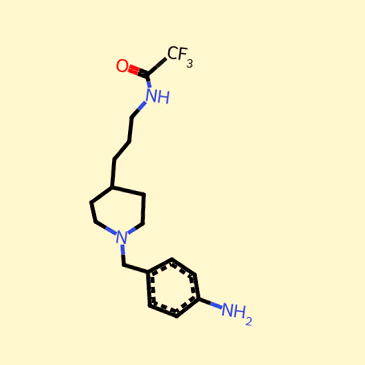 Nc1ccc(CN2CCC(CCCNC(=O)C(F)(F)F)CC2)cc1